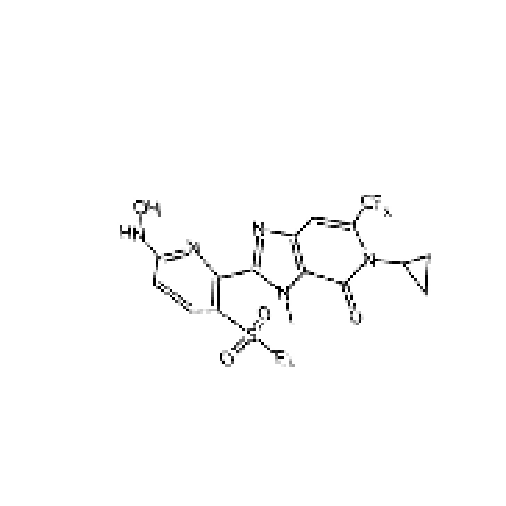 CCS(=O)(=O)c1ccc(NO)nc1-c1nc2cc(C(F)(F)F)n(C3CC3)c(=O)c2n1C